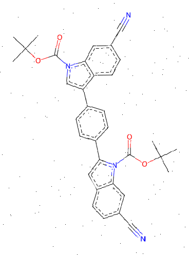 CC(C)(C)OC(=O)n1cc(-c2ccc(-c3cc4ccc(C#N)cc4n3C(=O)OC(C)(C)C)cc2)c2ccc(C#N)cc21